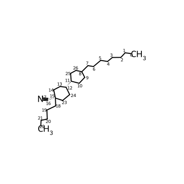 CCCCCCCCC1CCC([C@H]2CC[C@](C#N)(CCCCC)CC2)CC1